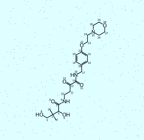 CC(C)(CO)C(O)C(=O)NCCC(=O)C(=O)NCc1ccc(OCCN2CCOCC2)cc1